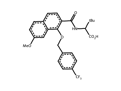 COc1ccc2ccc(C(=O)NC(C(=O)O)C(C)(C)C)c(OCc3ccc(C(F)(F)F)cc3)c2c1